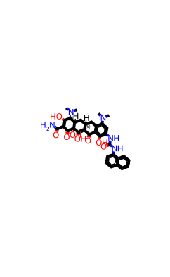 CN(C)c1cc(NC(=O)Nc2cccc3ccccc23)c(O)c2c1C[C@@H]1C[C@@H]3[C@@H](N(C)C)C(O)=C(C(N)=O)C(=O)[C@]3(O)C(O)=C1C2=O